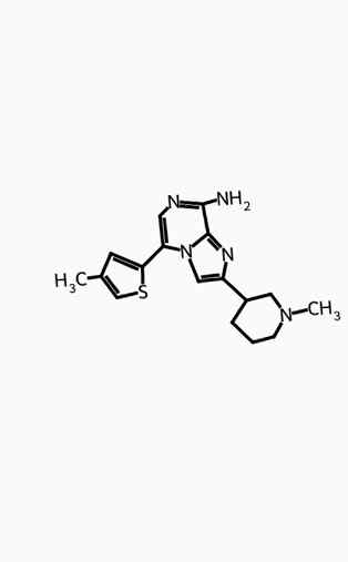 Cc1csc(-c2cnc(N)c3nc(C4CCCN(C)C4)cn23)c1